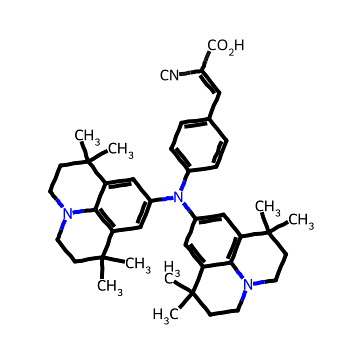 [C-]#[N+]/C(=C\c1ccc(N(c2cc3c4c(c2)C(C)(C)CCN4CCC3(C)C)c2cc3c4c(c2)C(C)(C)CCN4CCC3(C)C)cc1)C(=O)O